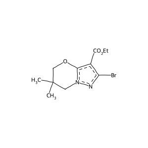 CCOC(=O)c1c(Br)nn2c1OCC(C)(C)C2